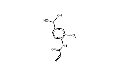 C=CC(=O)Nc1ccc(B(O)O)cc1[N+](=O)[O-]